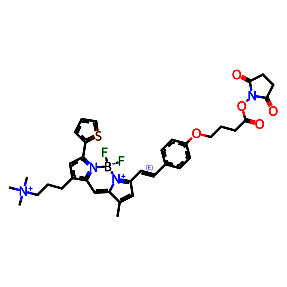 CC1=CC(/C=C/c2ccc(OCCCC(=O)ON3C(=O)CCC3=O)cc2)=[N+]2C1=Cc1c(CCC[N+](C)(C)C)cc(-c3cccs3)n1[B-]2(F)F